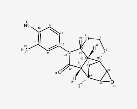 C[C@@]12O[C@]3(CCO[C@@H]4[C@H]3[C@H]1C(=O)N4c1ccc(C#N)c(C(F)(F)F)c1)C1OC12